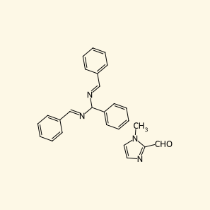 C(=NC(N=Cc1ccccc1)c1ccccc1)c1ccccc1.Cn1ccnc1C=O